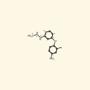 Cc1cc([N+](=O)[O-])ccc1Oc1ccnc(NNC(=O)O)c1